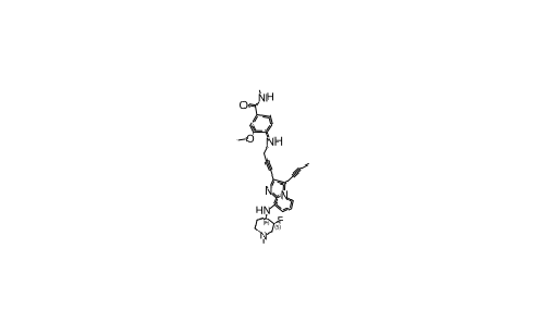 CC#Cc1c(C#CCNc2ccc(C(=O)NC)cc2OC)nc2c(N[C@@H]3CCN(C)C[C@@H]3F)cccn12